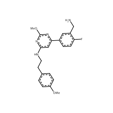 COc1ccc(CCNc2cc(-c3ccc(F)c(CN)c3)nc(OC)n2)cc1